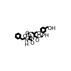 O=C(Cc1ccccc1)N[C@@H]1C(=O)N2C(C(=O)OC=P)=C(COc3ccc(CO)cc3)C[S+]([O-])[C@H]12